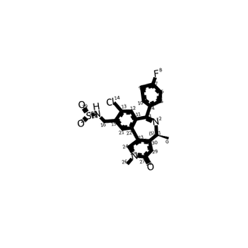 C[C@@H]1N=C(c2ccc(F)cc2)c2cc(Cl)c(CN[SH](=O)=O)cc2-c2cn(C)c(=O)cc21